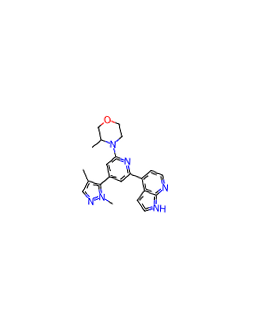 Cc1cnn(C)c1-c1cc(-c2ccnc3[nH]ccc23)nc(N2CCOCC2C)c1